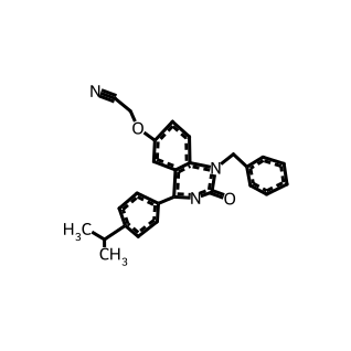 CC(C)c1ccc(-c2nc(=O)n(Cc3ccccc3)c3ccc(OCC#N)cc23)cc1